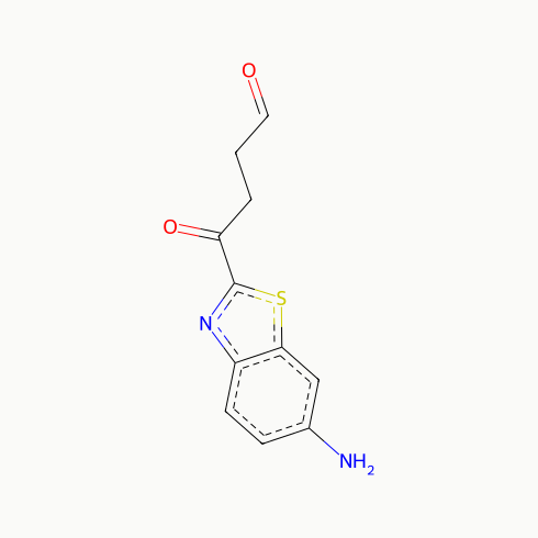 Nc1ccc2nc(C(=O)CCC=O)sc2c1